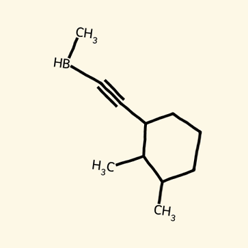 CBC#CC1CCCC(C)C1C